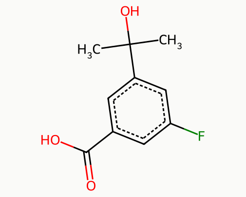 CC(C)(O)c1cc(F)cc(C(=O)O)c1